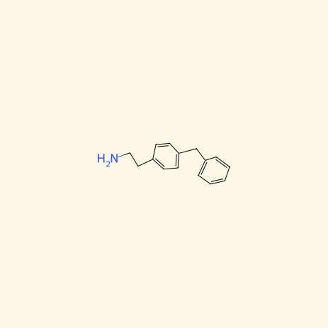 NCCc1ccc(Cc2ccccc2)cc1